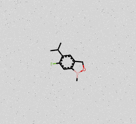 CB1OCc2cc(C(C)C)c(F)cc21